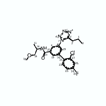 CCCc1nnnn1-c1cc(C(=O)NC(C)COC)cc(-c2ccc(F)cc2Cl)c1